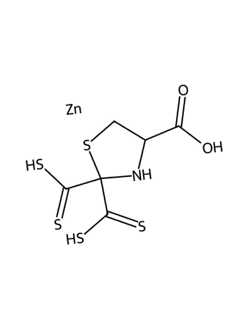 O=C(O)C1CSC(C(=S)S)(C(=S)S)N1.[Zn]